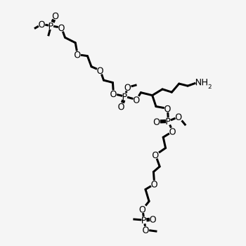 COP(C)(=O)OCCOCCOCCOP(=O)(OC)OCC(CCCCN)COP(=O)(OC)OCCOCCOCCOP(C)(=O)OC